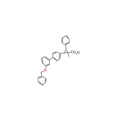 CC1(C(=O)O)C(c2ccccc2)C1c1ccc(-c2cccc(OCc3ccccc3)c2)cc1